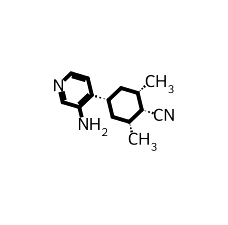 C[C@@H]1C[C@H](c2ccncc2N)C[C@H](C)[C@@H]1C#N